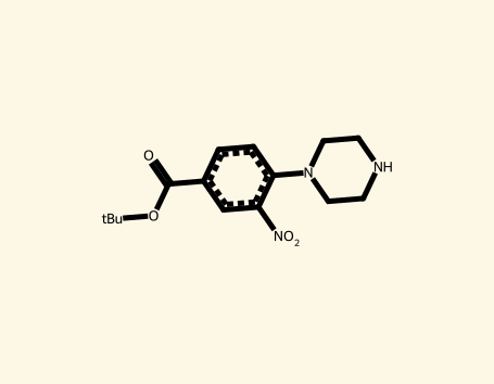 CC(C)(C)OC(=O)c1ccc(N2CCNCC2)c([N+](=O)[O-])c1